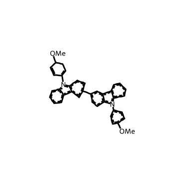 COc1ccc(-n2c3ccccc3c3cc(-c4ccc5c(c4)c4ccccc4n5C4=CCC(OC)C=C4)ccc32)cc1